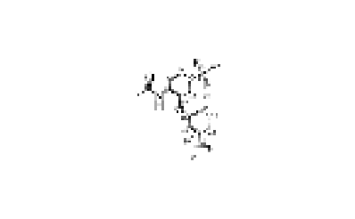 CC(=O)Nc1ccc(C(F)(F)F)cc1Oc1cc(C(C)(C)C)ccc1I